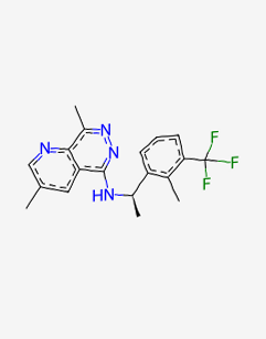 Cc1cnc2c(C)nnc(N[C@H](C)c3cccc(C(F)(F)F)c3C)c2c1